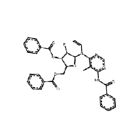 C=CN(c1ncnc(NC(=O)c2ccccc2)c1C)C1OC(COC(=O)c2ccccc2)[C@@H](OC(=O)c2ccccc2)C1F